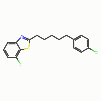 Clc1ccc(CCCCCc2nc3cccc(Cl)c3s2)cc1